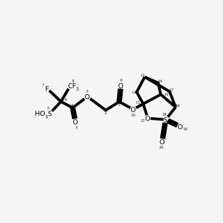 O=C(COC(=O)C(F)(C(F)(F)F)S(=O)(=O)O)OC12CC3CC1C(C3)S(=O)(=O)O2